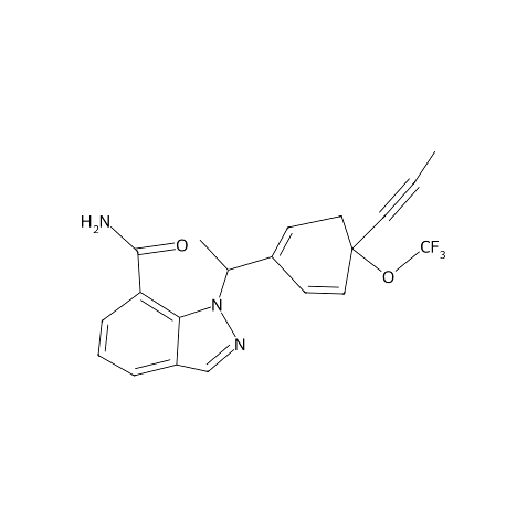 CC#CC1(OC(F)(F)F)C=CC(C(C)n2ncc3cccc(C(N)=O)c32)=CC1